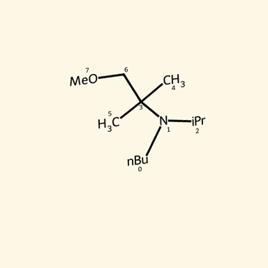 CCCCN(C(C)C)C(C)(C)COC